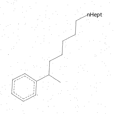 CCCCCCCCCCCCC(C)c1[c]cccc1